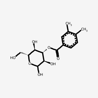 Cc1ccc(C(=O)O[C@H]2[C@H](O)[C@@H](CO)OC(O)[C@@H]2O)cc1C